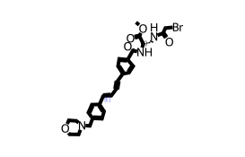 COC(=O)[C@H](CNC(=O)CBr)NC(=O)c1ccc(C#C/C=C/c2ccc(CN3CCOCC3)cc2)cc1